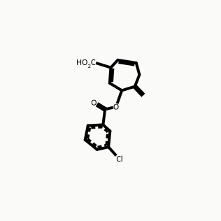 C=C1CC=CC(C(=O)O)=CC1OC(=O)c1cccc(Cl)c1